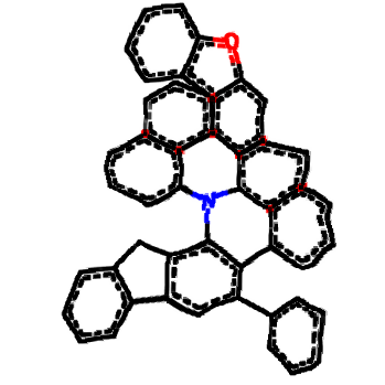 c1ccc(-c2ccccc2N(c2ccccc2-c2cccc3oc4ccccc4c23)c2c3c(cc(-c4ccccc4)c2-c2ccccc2)-c2ccccc2C3)cc1